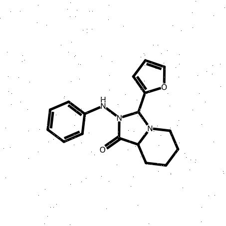 O=C1C2CCCCN2C(c2ccco2)N1Nc1ccccc1